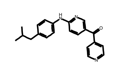 CC(C)Cc1ccc(Nc2ccc(C(=O)c3ccncc3)cn2)cc1